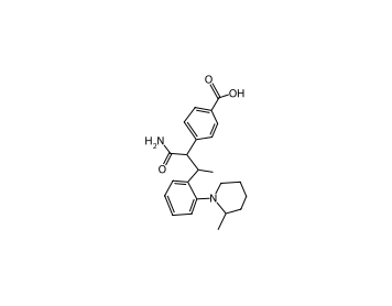 CC(c1ccccc1N1CCCCC1C)C(C(N)=O)c1ccc(C(=O)O)cc1